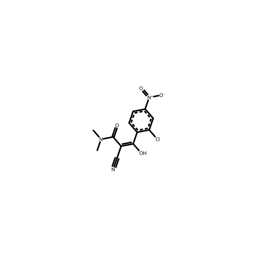 CN(C)C(=O)C(C#N)=C(O)c1ccc([N+](=O)[O-])cc1Cl